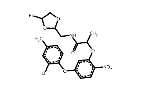 CCC1COC(CNC(=O)C(C)Oc2cc(Oc3ccc(C(F)(F)F)cc3Cl)ccc2[N+](=O)[O-])O1